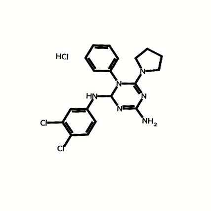 Cl.NC1=NC(Nc2ccc(Cl)c(Cl)c2)N(c2ccccc2)C(N2CCCC2)=N1